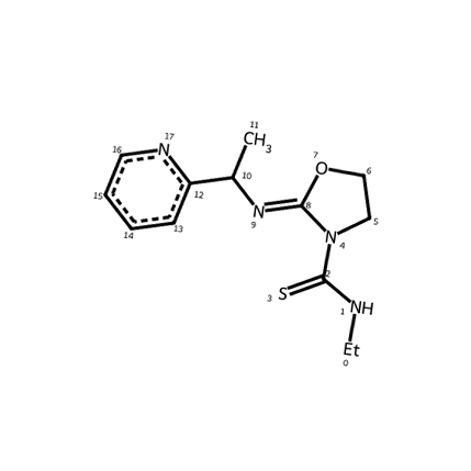 CCNC(=S)N1CCOC1=NC(C)c1ccccn1